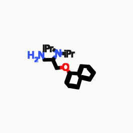 CC(C)N(C(C)C)C(CN)COc1cccc2ccccc12